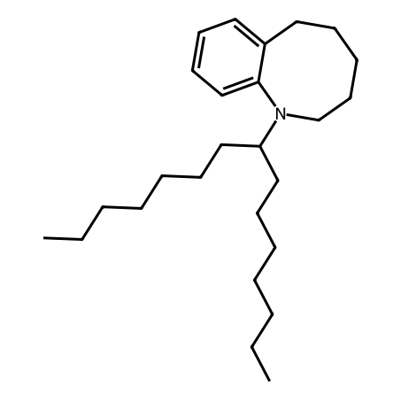 CCCCCCCC(CCCCCCC)N1CCCCCc2ccccc21